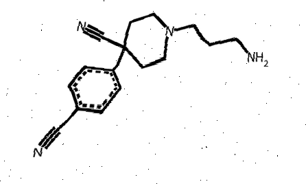 N#Cc1ccc(C2(C#N)CCN(CCCN)CC2)cc1